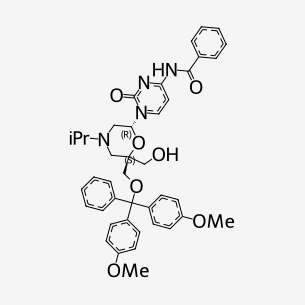 COc1ccc(C(OC[C@@]2(CO)CN(C(C)C)C[C@H](n3ccc(NC(=O)c4ccccc4)nc3=O)O2)(c2ccccc2)c2ccc(OC)cc2)cc1